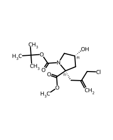 C=C(CCl)C[C@@]1(C(=O)OC)C[C@@H](O)CN1C(=O)OC(C)(C)C